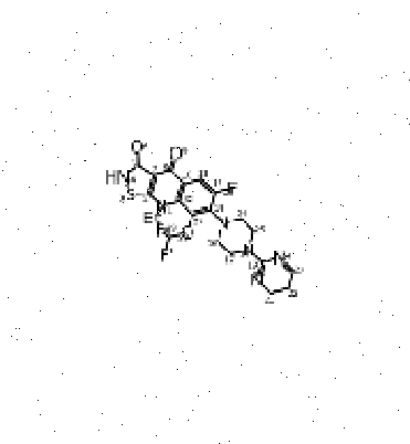 CCn1c2s[nH]c(=O)c2c(=O)c2cc(F)c(N3CCN(C4=NCCC=N4)CC3)c(OC(F)F)c21